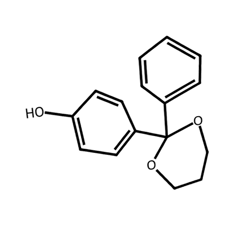 Oc1ccc(C2(c3ccccc3)OCCCO2)cc1